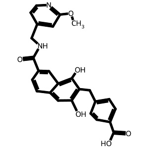 COc1cc(CNC(=O)c2ccc3cc(O)c(Cc4ccc(C(=O)O)cc4)c(O)c3c2)ccn1